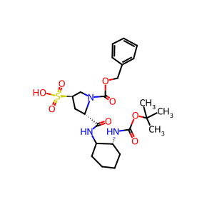 CC(C)(C)OC(=O)N[C@@H]1CCCCC1NC(=O)[C@@H]1C[C@@H](S(=O)(=O)O)CN1C(=O)OCc1ccccc1